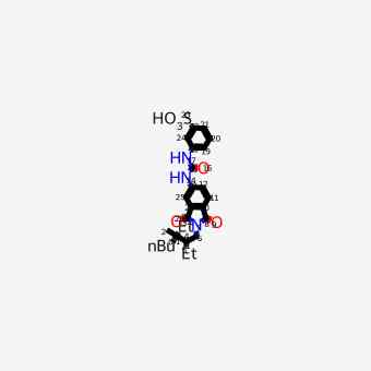 CCCCC(C)(CC)C(CC)CN1C(=O)c2ccc(NC(=O)Nc3cccc(S(=O)(=O)O)c3)cc2C1=O